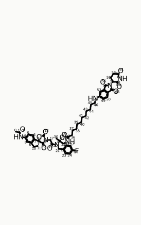 CC(=O)Nc1ccc2c(c1)CC[C@@]21OC(=O)N(CC(=O)N(Cc2ccc(F)cc2)C(C)(O)CNC(=O)CCCCCCCCCCCNc2ccc3c(c2)C(=O)N(C2CCC(=O)NC2=O)C3=O)C1=O